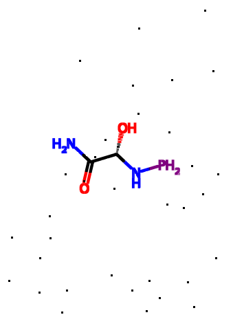 NC(=O)[C@H](O)NP